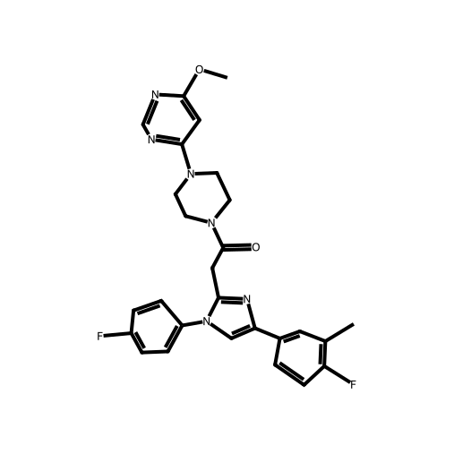 COc1cc(N2CCN(C(=O)Cc3nc(-c4ccc(F)c(C)c4)cn3-c3ccc(F)cc3)CC2)ncn1